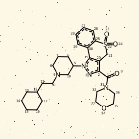 O=C(c1nn(C2CCCN(CCC3CCCCC3)C2)c2c1CS(=O)(=O)c1ccccc1-2)N1CCOCC1